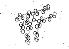 CC1(OC(=O)CCCC(=O)Oc2cc(OC(=O)CCCC(=O)OC3(C)C4CC5CC(C4)CC3C5)cc(-c3cc(-c4cc(OC(=O)CCCC(=O)OC5(C)C6CC7CC(C6)CC5C7)cc(OC(=O)CCCC(=O)OC5(C)C6CC7CC(C6)CC5C7)c4)cc(-c4cc(OC(=O)CCCC(=O)OC5(C)C6CC7CC(C6)CC5C7)cc(OC(=O)CCCC(=O)OC5(C)C6CC7CC(C6)CC5C7)c4)c3)c2)C2CC3CC(C2)CC1C3